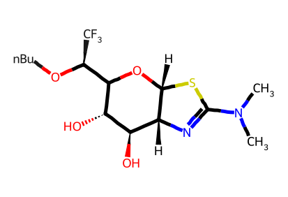 CCCCO[C@H](C1O[C@@H]2SC(N(C)C)=N[C@@H]2[C@@H](O)[C@@H]1O)C(F)(F)F